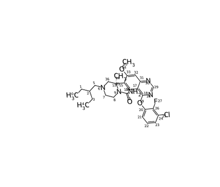 CCC(CC)CN1CCN(C(N)=O)[C@](C)(c2cc3c(Oc4cccc(Cl)c4F)ncnc3cc2OC)C1